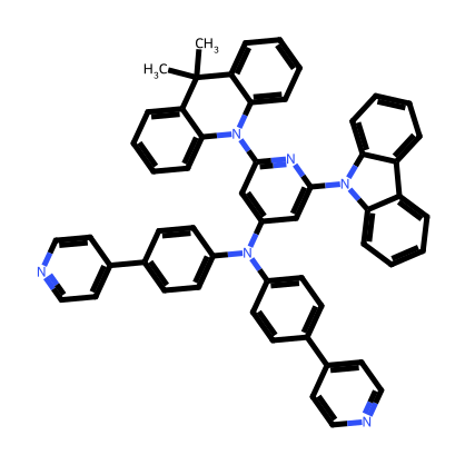 CC1(C)c2ccccc2N(c2cc(N(c3ccc(-c4ccncc4)cc3)c3ccc(-c4ccncc4)cc3)cc(-n3c4ccccc4c4ccccc43)n2)c2ccccc21